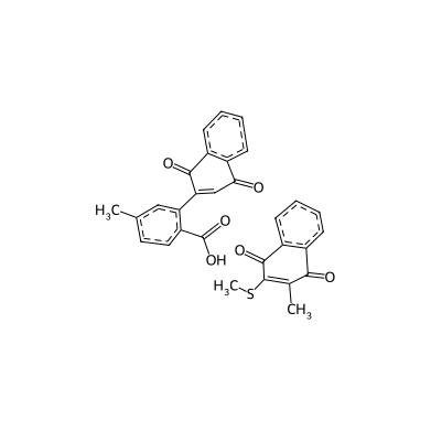 CSC1=C(C)C(=O)c2ccccc2C1=O.Cc1ccc(C(=O)O)c(C2=CC(=O)c3ccccc3C2=O)c1